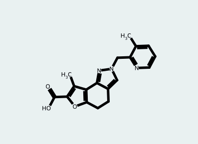 Cc1cccnc1Cn1cc2c(n1)-c1c(oc(C(=O)O)c1C)CC2